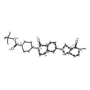 Cn1ccc2nn(-c3ccc4c(=O)n(C5CCN(C(=O)OC(C)(C)C)CC5)ccc4c3)cc2c1=O